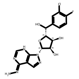 NN=c1nc[nH]c2c1cnn2[C@@H]1O[C@H](C(O)c2ccc(F)c(Cl)c2)[C@@H](O)[C@H]1O